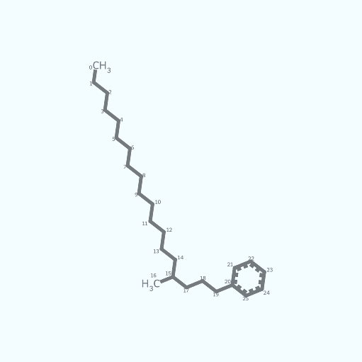 CCCCCCCCCCCCCCCC(C)CCCc1ccccc1